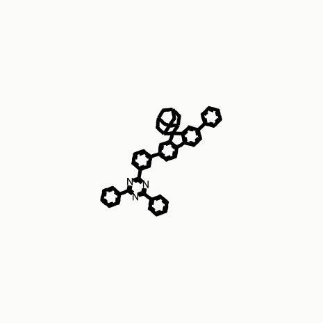 c1ccc(-c2ccc3c(c2)C2(c4cc(-c5cccc(-c6nc(-c7ccccc7)nc(-c7ccccc7)n6)c5)ccc4-3)C3CCC4CC(C3)CC2C4)cc1